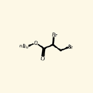 CCCCOC(=O)C(Br)CBr